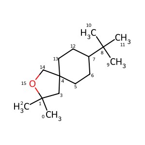 CC1(C)CC2(CCC(C(C)(C)C)CC2)CO1